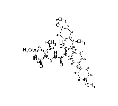 COC1CCC([C@@H](C)n2c(C)c(C(=O)NCc3c(SC)cc(C)[nH]c3=O)c3cc(C4CCN(C)CC4)ccc32)CC1